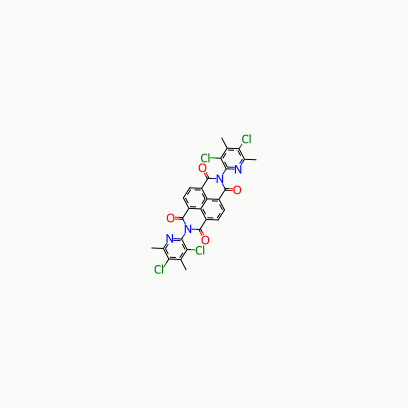 Cc1nc(N2C(=O)c3ccc4c5c(ccc(c35)C2=O)C(=O)N(c2nc(C)c(Cl)c(C)c2Cl)C4=O)c(Cl)c(C)c1Cl